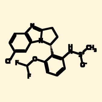 C[S+]([O-])Nc1cccc(OC(F)F)c1[C@H]1CCc2nc3ccc(Cl)cc3n21